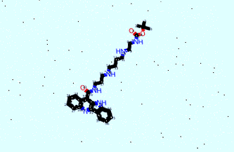 CC(C)(C)OC(=O)NCCNCCCCNCCCNC(=O)c1c2ccccc2nc2c1[nH]c1ccccc12